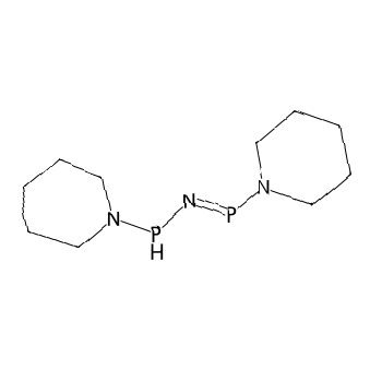 C1CCN(P=NPN2CCCCC2)CC1